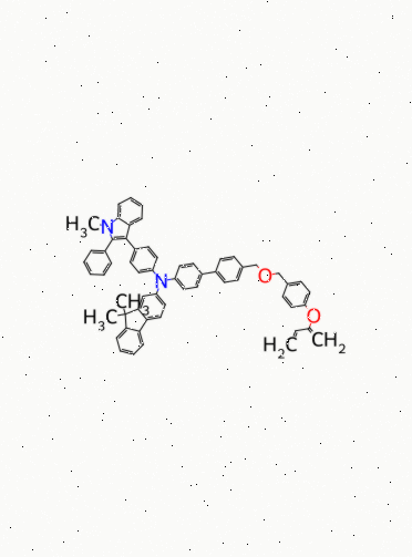 C=CC(=C)Oc1ccc(COCc2ccc(-c3ccc(N(c4ccc(-c5c(-c6ccccc6)n(C)c6ccccc56)cc4)c4ccc5c(c4)C(C)(C)c4ccccc4-5)cc3)cc2)cc1